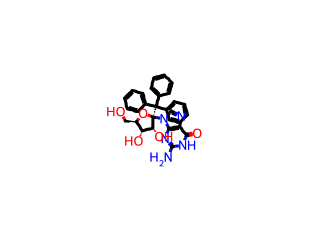 Nc1nc2c(ncn2[C@]2(C(c3ccccc3)(c3ccccc3)c3ccccc3)O[C@H](CO)[C@@H](O)[C@H]2O)c(=O)[nH]1